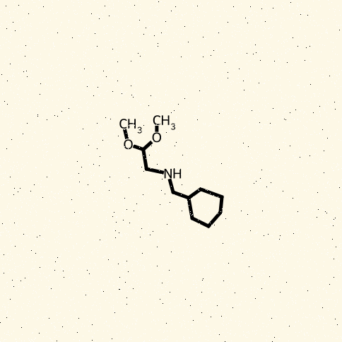 COC(CNCC1CCCCC1)OC